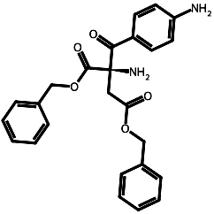 Nc1ccc(C(=O)[C@](N)(CC(=O)OCc2ccccc2)C(=O)OCc2ccccc2)cc1